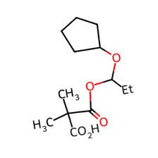 CCC(OC(=O)C(C)(C)C(=O)O)OC1CCCC1